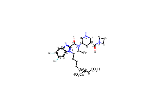 COCCCCn1c(C(=O)N(CC(C)C)[C@@H]2CNC[C@H](C(=O)N3CCC3)C2)nc2cc(F)c(F)cc21.O=C(O)/C=C/C(=O)O